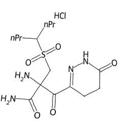 CCCC(CCC)S(=O)(=O)CC(N)(C(N)=O)C(=O)C1=NNC(=O)CC1.Cl